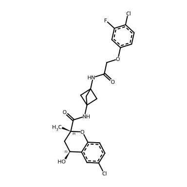 C[C@]1(C(=O)NC23CC(NC(=O)COc4ccc(Cl)c(F)c4)(C2)C3)C[C@H](O)c2cc(Cl)ccc2O1